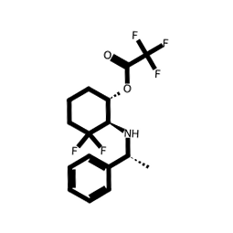 C[C@@H](N[C@@H]1[C@@H](OC(=O)C(F)(F)F)CCCC1(F)F)c1ccccc1